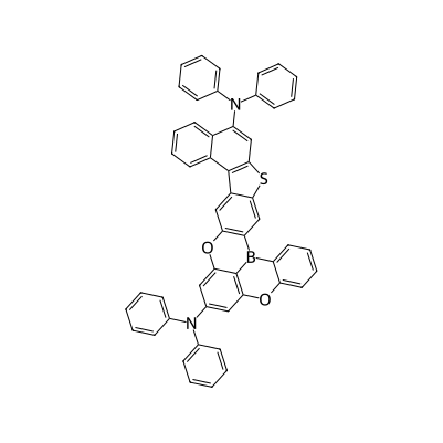 c1ccc(N(c2ccccc2)c2cc3c4c(c2)Oc2cc5c(cc2B4c2ccccc2O3)sc2cc(N(c3ccccc3)c3ccccc3)c3ccccc3c25)cc1